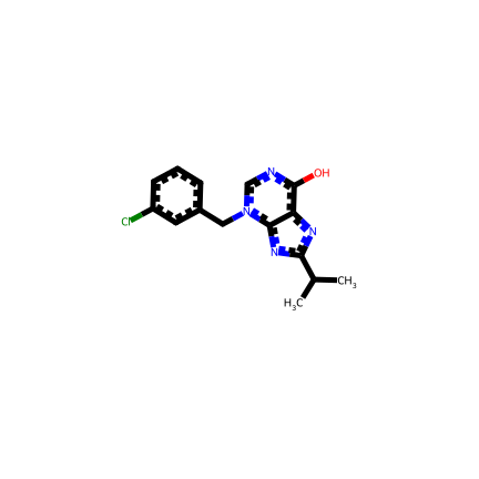 CC(C)c1nc2c(O)ncn(Cc3cccc(Cl)c3)c-2n1